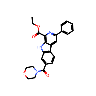 CCOC(=O)c1nc(-c2ccccc2)cc2c1[nH]c1cc(C(=O)N3CCOCC3)ccc12